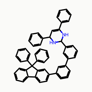 C1=C=C(c2ccc3c(c2)C(c2ccccc2)(c2ccccc2)c2ccccc2-3)C=C(c2cccc(C3NC(c4ccccc4)=CC(c4ccccc4)N3)c2)C=1